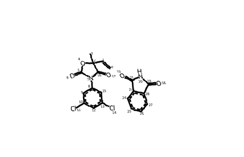 C=CC1(C)OC(=O)N(c2cc(Cl)cc(Cl)c2)C1=O.O=C1NC(=O)c2ccccc21